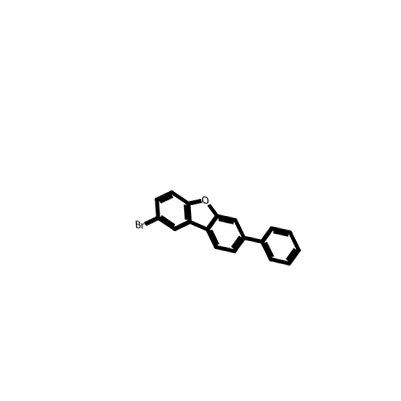 Brc1ccc2oc3cc(-c4ccccc4)ccc3c2c1